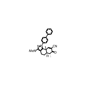 CNc1nn(-c2ccc(-c3ccccc3)cc2)c2c1CC[C@@H]1[C@@H](C)C(=O)C(C#N)=C[C@@]21C